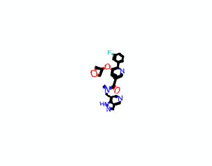 CN(Cc1cncc2cn[nH]c12)C(=O)c1cnc(-c2cccc(F)c2)c(OC2COC2)c1